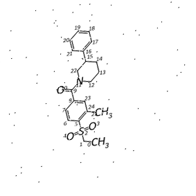 CCS(=O)(=O)c1ccc(C(=O)N2CCCC(c3ccccc3)C2)cc1C